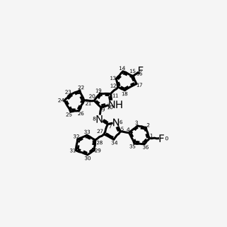 Fc1ccc(C2=NC(=Nc3[nH]c(-c4ccc(F)cc4)cc3-c3ccccc3)C(c3ccccc3)=C2)cc1